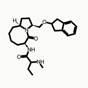 CCC(NC)C(=O)N[C@H]1CCCC[C@H]2CC[C@@H](COC3Cc4ccccc4C3)N2C1=O